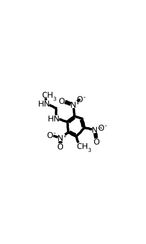 CNCNc1c([N+](=O)[O-])cc([N+](=O)[O-])c(C)c1[N+](=O)[O-]